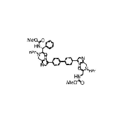 CCCN(Cc1ncc(-c2ccc(-c3ccc(-c4cnc(CN(CCC)C(=O)[C@H](NC(=O)OC)c5ccccc5)[nH]4)cc3)cc2)[nH]1)C(=O)CNC(=O)OC